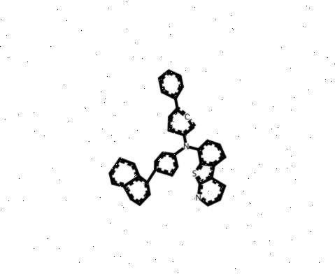 c1ccc(-c2ccc(N(c3ccc(-c4cccc5ccccc45)cc3)c3cccc4c3sc3ncccc34)cc2)cc1